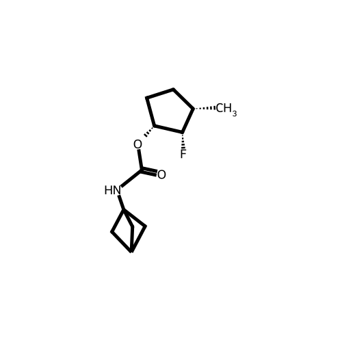 C[C@H]1CC[C@@H](OC(=O)NC23CC(C2)C3)[C@H]1F